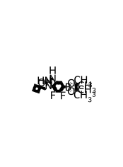 CC1(C)OB(c2cc3c(c(F)c2F)N(CC2(O)CCC2)NN3)OC1(C)C